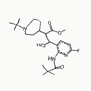 COC(=O)C(C1CCN(C(C)(C)C)CC1)C(O)c1ccc(F)nc1NC(=O)C(C)(C)C